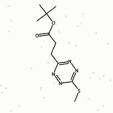 CSc1nnc(CCC(=O)OC(C)(C)C)nn1